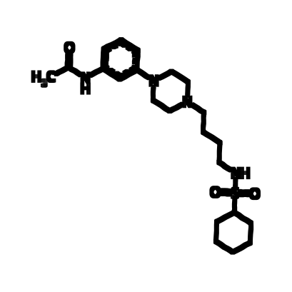 CC(=O)Nc1cccc(N2CCN(CCCCNS(=O)(=O)C3CCCCC3)CC2)c1